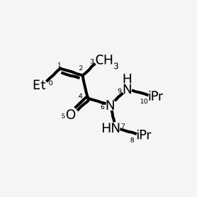 CCC=C(C)C(=O)N(NC(C)C)NC(C)C